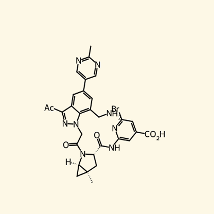 CC(=O)c1nn(CC(=O)N2[C@H](C(=O)Nc3cc(C(=O)O)cc(Br)n3)C[C@@]3(C)C[C@@H]23)c2c(CN)cc(-c3cnc(C)nc3)cc12